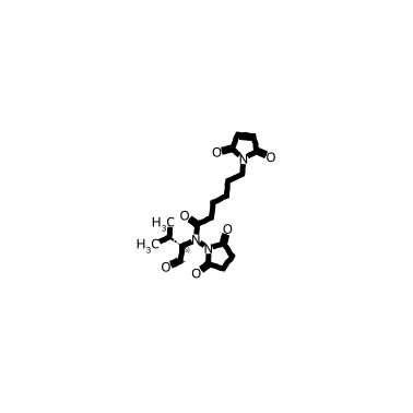 CC(C)[C@@H]([C]=O)N(C(=O)CCCCCN1C(=O)C=CC1=O)N1C(=O)CCC1=O